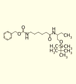 CCC(CO[Si](C)(C)C(C)(C)C)NC(=O)CCCCCNC(=O)OCc1ccccc1